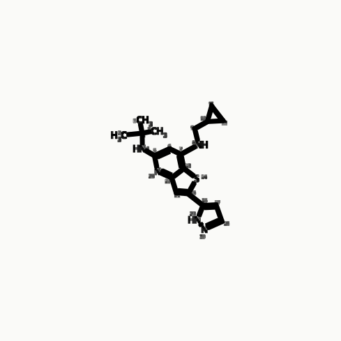 CC(C)(C)Nc1cc(NCC2CC2)c2sc(-c3ccn[nH]3)cc2n1